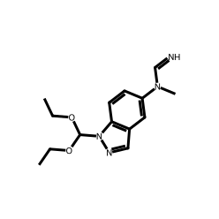 CCOC(OCC)n1ncc2cc(N(C)C=N)ccc21